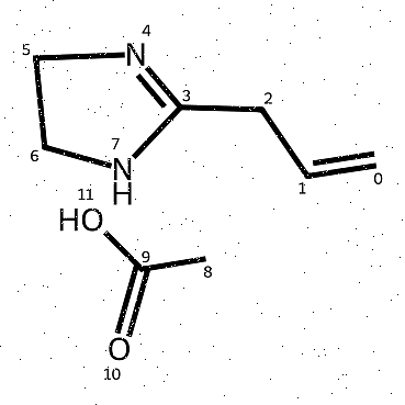 C=CCC1=NCCN1.CC(=O)O